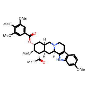 COC(=O)[C@H]1[C@@H]2C[C@@H]3c4[nH]c5cc(OC)ccc5c4CCN3C[C@@H]2C[C@@H](OC(=O)c2cc(OC)c(OC)c(OC)c2)[C@@H]1OC